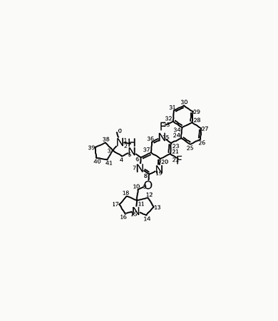 CN(C)C1(CNc2nc(OCC34CCCN3CCC4)nc3c(F)c(-c4cccc5cccc(F)c45)ncc23)CCCC1